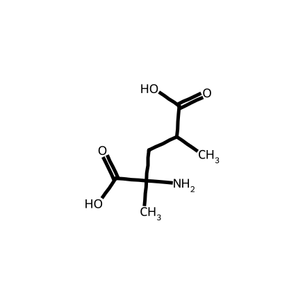 CC(CC(C)(N)C(=O)O)C(=O)O